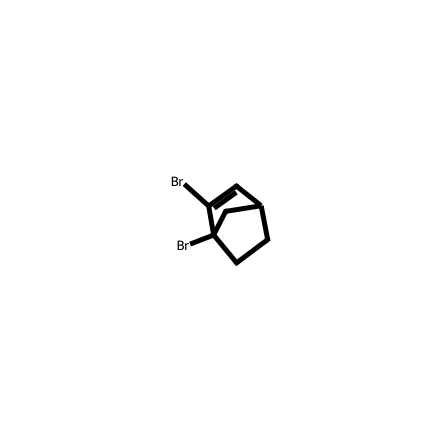 BrC1=CC2CCC1(Br)C2